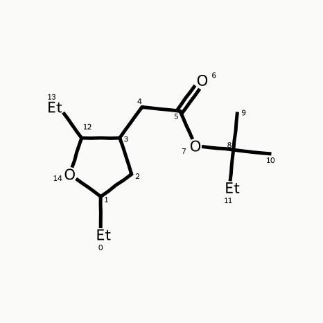 CCC1CC(CC(=O)OC(C)(C)CC)C(CC)O1